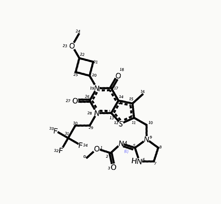 COC(=O)/N=C1\NCCN1Cc1sc2c(c1C)c(=O)n(C1CC(OC)C1)c(=O)n2CCC(F)(F)F